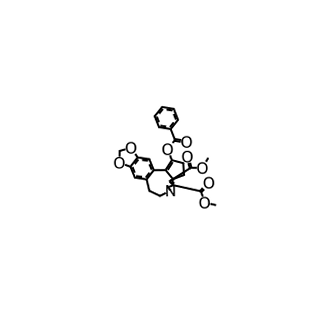 COC(=O)C1=C(C(=O)OC)C23CCC(OC(=O)c4ccccc4)=C2c2cc4c(cc2CCN3C1)OCO4